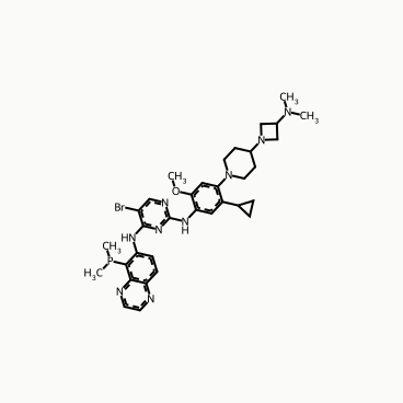 COc1cc(N2CCC(N3CC(N(C)C)C3)CC2)c(C2CC2)cc1Nc1ncc(Br)c(Nc2ccc3nccnc3c2P(C)C)n1